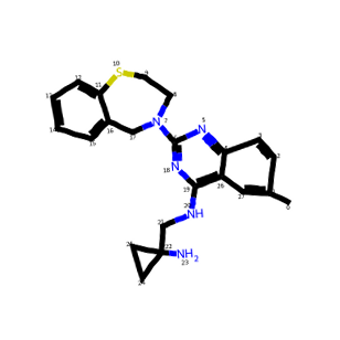 Cc1ccc2nc(N3CCSc4ccccc4C3)nc(NCC3(N)CC3)c2c1